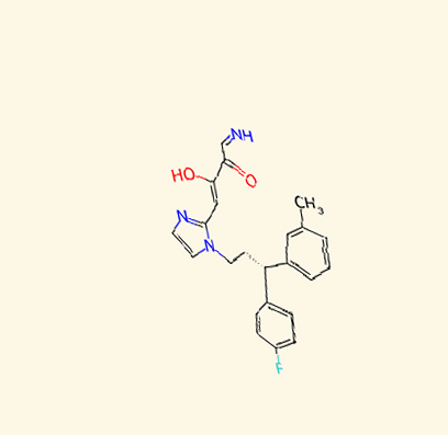 Cc1cccc([C@@H](CCn2ccnc2/C=C(\O)C(=O)C=N)c2ccc(F)cc2)c1